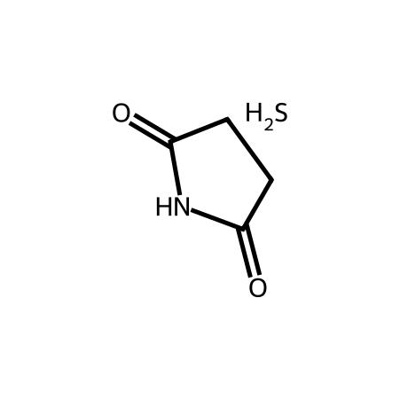 O=C1CCC(=O)N1.S